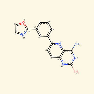 Bc1nc(N)c2nc(-c3cccc(-c4ncco4)c3)ccc2n1